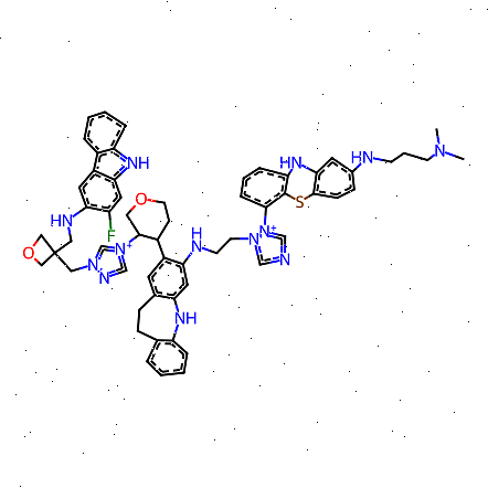 CN(C)CCCNc1ccc2c(c1)Nc1cccc(-[n+]3cncn3CCNc3cc4c(cc3C3CCOCC3[n+]3cnn(CC5(CNc6cc7c(cc6F)[nH]c6ccccc67)COC5)c3)CCc3ccccc3N4)c1S2